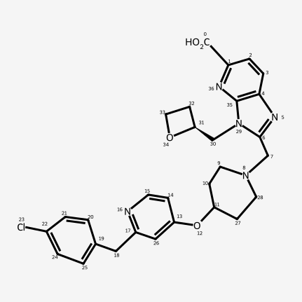 O=C(O)c1ccc2nc(CN3CCC(Oc4ccnc(Cc5ccc(Cl)cc5)c4)CC3)n(C[C@@H]3CCO3)c2n1